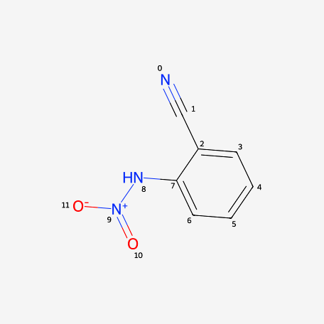 N#Cc1ccccc1N[N+](=O)[O-]